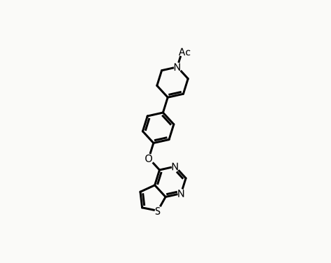 CC(=O)N1CC=C(c2ccc(Oc3ncnc4sccc34)cc2)CC1